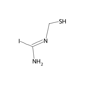 NC(I)=NCS